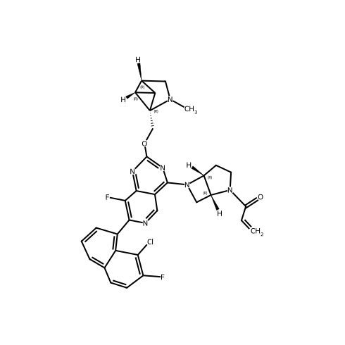 C=CC(=O)N1CC[C@@H]2[C@H]1CN2c1nc(OC[C@]23C4[C@@H](CN2C)[C@H]43)nc2c(F)c(-c3cccc4ccc(F)c(Cl)c34)ncc12